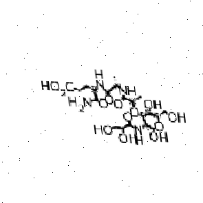 C[C@H](NC(=O)[C@@H](C)O[C@H]1[C@H](O)[C@@H](CO)OC(O)[C@@H]1NC(=O)C(O)CO)C(=O)N[C@H](CCC(=O)O)C(N)=O